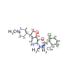 CNc1ncc2c(C3=CCN(C)CC3)coc2c1O[C@H](C)c1c(Cl)ccc(F)c1Cl